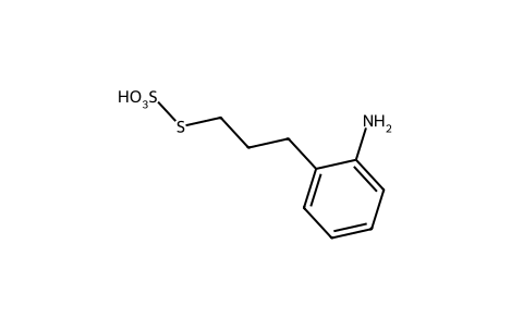 Nc1ccccc1CCCSS(=O)(=O)O